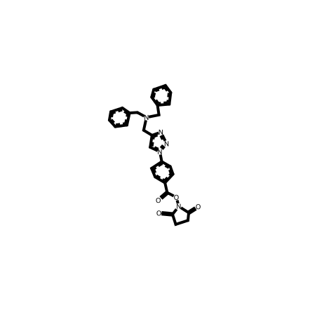 O=C(ON1C(=O)CCC1=O)c1ccc(-n2cc(CN(Cc3ccccc3)Cc3ccccc3)nn2)cc1